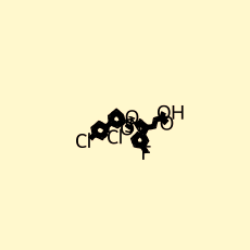 O=C(O)CCc1cn(S(=O)(=O)c2cccc(-c3ccc(Cl)cc3Cl)c2)c2ccc(F)cc12